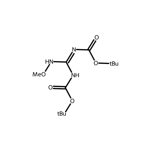 CONC(=NC(=O)OC(C)(C)C)NC(=O)OC(C)(C)C